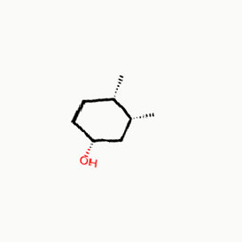 C[C@@H]1C[C@H](O)CC[C@@H]1C